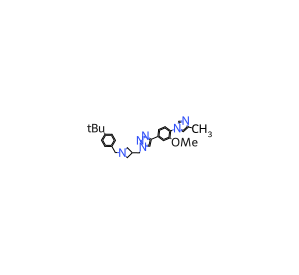 COc1cc(-c2cn(CC3CN(Cc4ccc(C(C)(C)C)cc4)C3)nn2)ccc1-n1cnc(C)c1